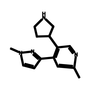 Cc1cc(-c2ccn(C)n2)c(C2CCNC2)cn1